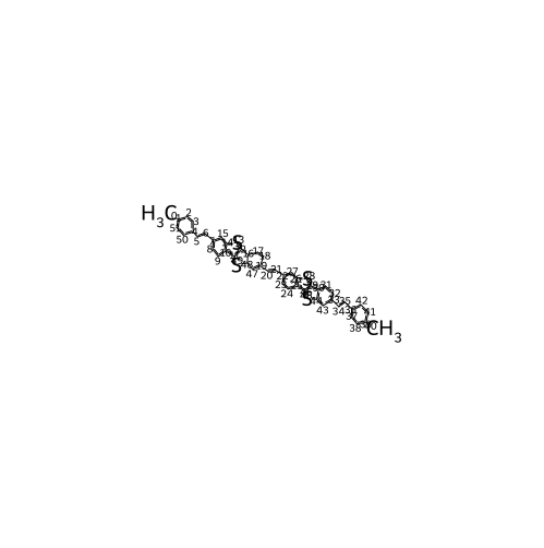 Cc1ccc(/C=C/c2ccc3c4c(sc3c2)C2C=CC(/C=C/c3ccc5c(c3)sc3c6ccc(/C=C/c7ccc(C)cc7)cc6sc53)=CC2S4)cc1